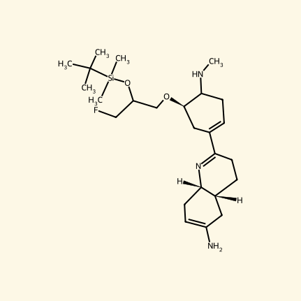 CNC1CC=C(C2=N[C@H]3CC=C(N)C[C@H]3CC2)C[C@H]1OCC(CF)O[Si](C)(C)C(C)(C)C